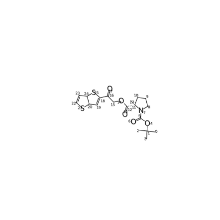 CC(C)(C)OC(=O)N1CCC[C@H]1C(=O)OCC(=O)C1=CC2SC=CC2S1